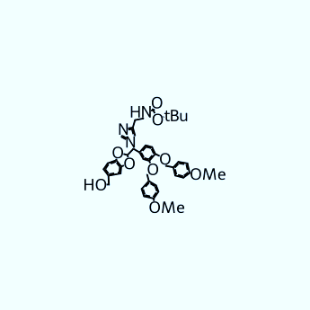 COc1ccc(COc2ccc(C(C3Oc4ccc(CO)cc4O3)n3cnc(CCNC(=O)OC(C)(C)C)c3)cc2OCc2ccc(OC)cc2)cc1